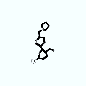 FCc1ccc(C(F)(F)F)nc1-c1ccc(CN2CCCC2)nc1